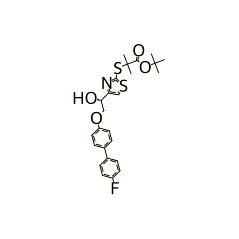 CC(C)(C)OC(=O)C(C)(C)Sc1nc([C@H](O)COc2ccc(-c3ccc(F)cc3)cc2)cs1